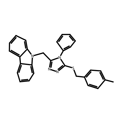 Cc1ccc(CSc2nnc(Cn3c4ccccc4c4ccccc43)n2-c2ccccc2)cc1